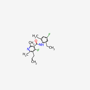 C=CCc1c(C)nc(C)c(C(=O)Nc2c(CC)cc(F)cc2CC)c1F